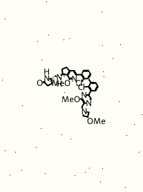 COc1nc(-c2cccc(-c3cccc(-c4cc5c(c(OC)n4)[C@H](NC[C@@H]4CCC(=O)N4)CC5)c3Cl)c2Cl)cnc1CN1CC(OC)C1